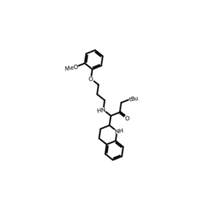 COc1ccccc1OCCCNC(C(=O)CC(C)(C)C)C1CCc2ccccc2N1